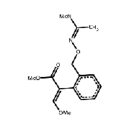 CN/C(C)=N/OCc1ccccc1/C(=C\OC)C(=O)OC